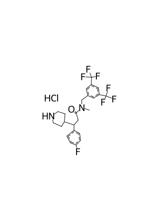 CN(Cc1cc(C(F)(F)F)cc(C(F)(F)F)c1)C(=O)CC(c1ccc(F)cc1)C1CCNCC1.Cl